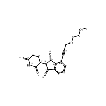 COCCOCC#Cc1cccc2c1C(=O)N(C1CCC(=O)NC1=O)C2=O